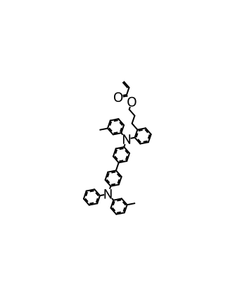 C=CC(=O)OCCCc1ccccc1N(c1ccc(-c2ccc(N(c3ccccc3)c3cccc(C)c3)cc2)cc1)c1cccc(C)c1